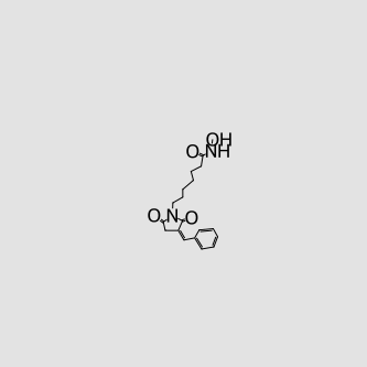 O=C(CCCCCCN1C(=O)CC(=Cc2ccccc2)C1=O)NO